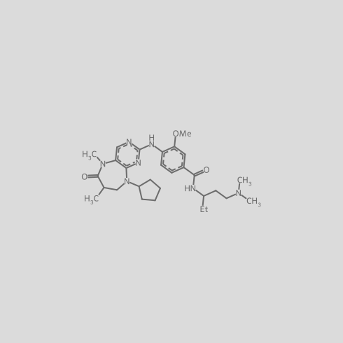 CCC(CCN(C)C)NC(=O)c1ccc(Nc2ncc3c(n2)N(C2CCCC2)CC(C)C(=O)N3C)c(OC)c1